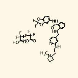 CN1CCCC1CCNc1cc(CNc2ccccc2C(=O)Nc2ccc3c(c2)OC(F)(F)O3)ccn1.O=C(O)C(F)(F)F.O=C(O)C(F)(F)F